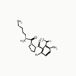 CC(C)c1ccc(N)c(C(=O)C(F)(F)F)c1C(=O)[C@@H]1CCCN1C(=O)C(N)CCCCN